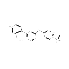 COc1cc(F)ccc1-c1ncnc(Nc2ccc(S(C)(=O)=O)nc2)n1